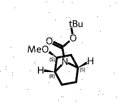 CO[C@H]1C[C@@H]2CC[C@H]1N2C(=O)OC(C)(C)C